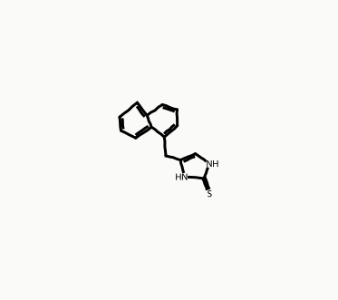 S=c1[nH]cc(Cc2cccc3ccccc23)[nH]1